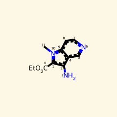 CCOC(=O)c1c(N)c2cnccc2n1C